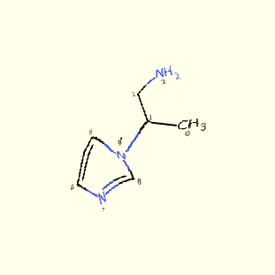 CC(CN)n1ccnc1